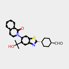 CC(C)(O)c1cc2nc([C@H]3CC[C@H](C=O)CC3)sc2cc1-n1ccc2ccccc2c1=O